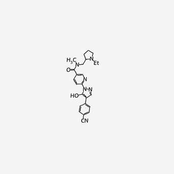 CCN1CCCC1CN(C)C(=O)c1ccc(-n2ncc(-c3ccc(C#N)cc3)c2O)nc1